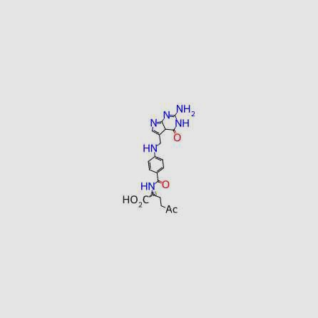 CC(=O)CC[C@H](NC(=O)c1ccc(NCC2=CN=C3N=C(N)NC(=O)C23)cc1)C(=O)O